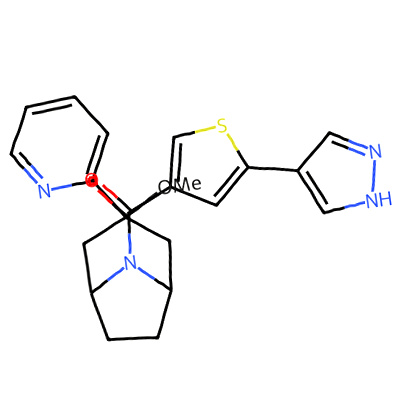 COC1(c2ccccn2)CC2CCC(C1)N2C(=O)c1csc(-c2cn[nH]c2)c1